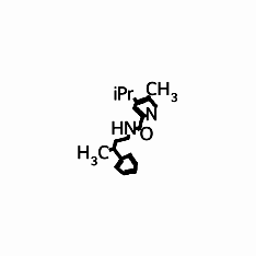 Cc1cnc(C(=O)NCCC(C)c2ccccc2)cc1C(C)C